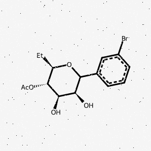 CC[C@H]1OC(c2cccc(Br)c2)[C@@H](O)[C@@H](O)[C@@H]1OC(C)=O